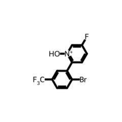 O[n+]1cc(F)ccc1-c1cc(C(F)(F)F)ccc1Br